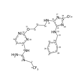 N/C(=N/CC(F)(F)F)Nc1ccnc(OCCCNc2n[s+]([O-])nc2NCc2ccccc2)n1